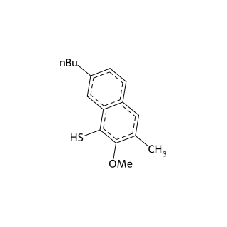 CCCCc1ccc2cc(C)c(OC)c(S)c2c1